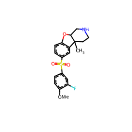 COc1ccc(S(=O)(=O)c2ccc3c(c2)C2(C)CCNCC2O3)cc1F